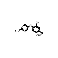 N#Cc1cc(CC=O)ccc1Oc1cnc(C(F)(F)F)nc1